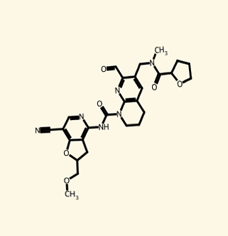 COCC1Cc2c(NC(=O)N3CCCc4cc(CN(C)C(=O)C5CCCO5)c(C=O)nc43)ncc(C#N)c2O1